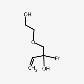 C=CC(O)(CC)COCCO